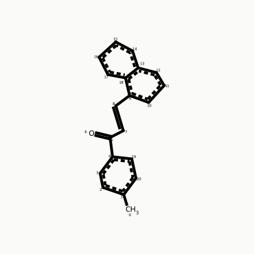 Cc1ccc(C(=O)C=Cc2cccc3ccccc23)cc1